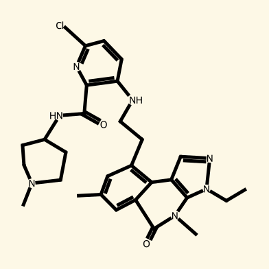 CCn1ncc2c3c(CCNc4ccc(Cl)nc4C(=O)NC4CCN(C)CC4)cc(C)cc3c(=O)n(C)c21